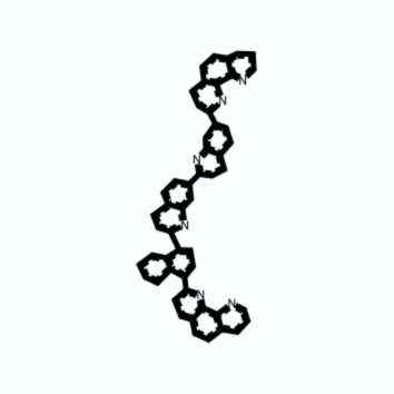 c1cnc2c(c1)ccc1ccc(-c3ccc4ccc(-c5ccc6ccc(-c7ccc(-c8ccc9ccc%10cccnc%10c9n8)c8ccccc78)nc6c5)nc4c3)nc12